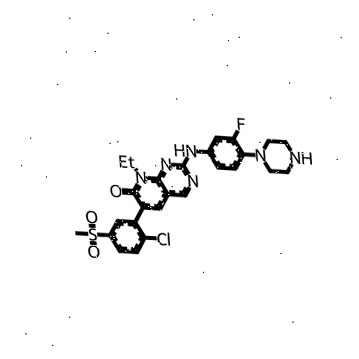 CCn1c(=O)c(-c2cc(S(C)(=O)=O)ccc2Cl)cc2cnc(Nc3ccc(N4CCNCC4)c(F)c3)nc21